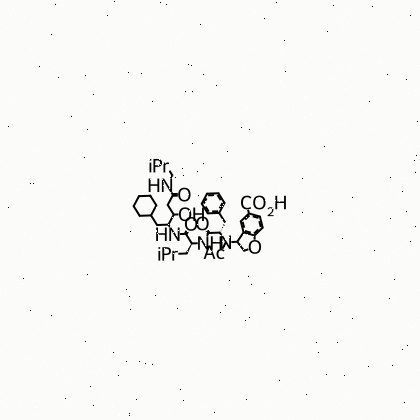 CC(=O)N(C1COc2ccc(C(=O)O)cc21)[C@@H](Cc1ccccc1)C(=O)N[C@@H](CC(C)C)C(=O)NC(CC1CCCCC1)C(O)CC(=O)NCC(C)C